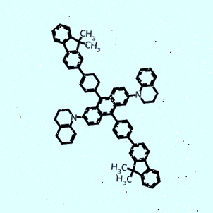 CC1(C)c2ccccc2-c2ccc(C3=CC=C(c4c5cc(N6CCCC7=C6C=CCC7)ccc5c(-c5ccc(-c6ccc7c(c6)C(C)(C)c6ccccc6-7)cc5)c5cc(N6CCCc7ccccc76)ccc45)CC3)cc21